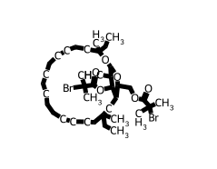 CCC1(C)CCCCCCCCCCCCCCC(C)(CC)OC2OC(COC(=O)C(C)(C)Br)C(C1)C(OC(=O)C(C)(C)Br)C2C